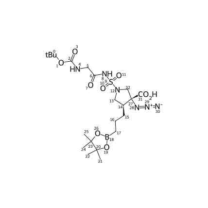 CC(C)(C)OC(=O)NCC(=O)NS(=O)(=O)N1C[C@H](CCCB2OC(C)(C)C(C)(C)O2)[C@](N=[N+]=[N-])(C(=O)O)C1